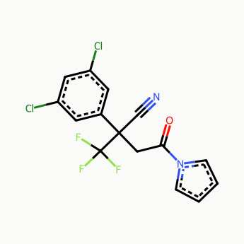 N#CC(CC(=O)n1cccc1)(c1cc(Cl)cc(Cl)c1)C(F)(F)F